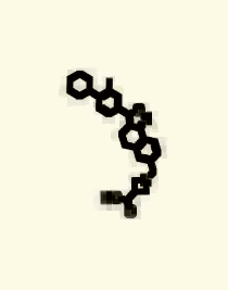 Cc1cc(-c2onc3c2CCc2cc(CN4CC(C(=O)O)C4)ccc2-3)ccc1C1CCCCC1